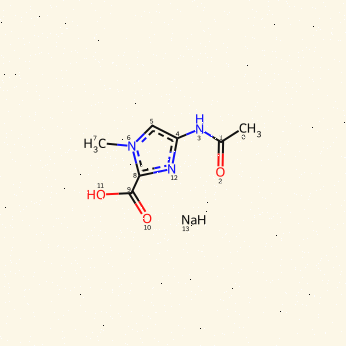 CC(=O)Nc1cn(C)c(C(=O)O)n1.[NaH]